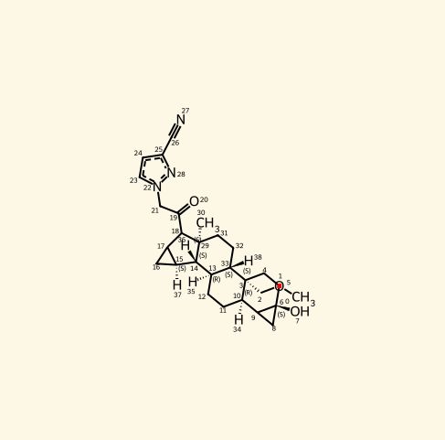 COC[C@]12CC[C@]3(O)CC3[C@H]1CC[C@H]1[C@@H]3[C@H]4CC4C(C(=O)Cn4ccc(C#N)n4)[C@@]3(C)CC[C@@H]12